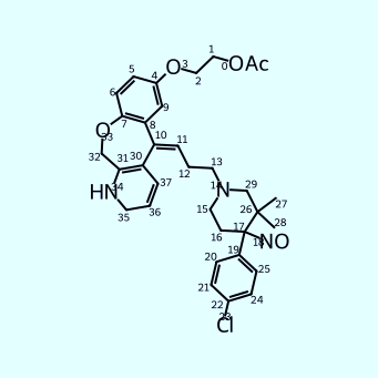 CC(=O)OCCOc1ccc2c(c1)/C(=C/CCN1CCC(N=O)(c3ccc(Cl)cc3)C(C)(C)C1)C1=C(CO2)NCC=C1